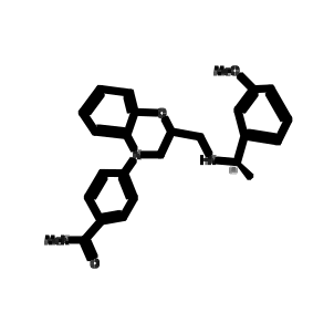 CNC(=O)c1ccc(N2CC(CN[C@H](C)c3cccc(OC)c3)Oc3ccccc32)cc1